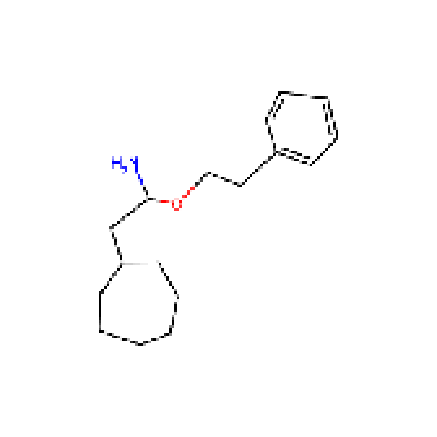 NC(CC1CCCCCC1)OCCc1ccccc1